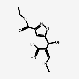 CCOC(=O)c1cc(C(O)/C(=C/NC)C(=N)Br)on1